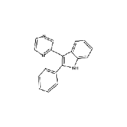 c1ccc(-c2[nH]c3ccccc3c2-c2cnccn2)cc1